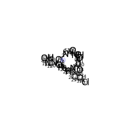 CN1C/C=C/[C@H](OC(=O)N2CCN3CCOC[C@@H]3C2)[C@@H]2CC[C@H]2CN2C[C@@]3(CCCc4cc(Cl)ccc43)COc3ccc(cc32)S(=O)(=O)NC(=O)C1(C)C